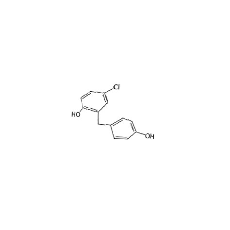 Oc1ccc(Cc2cc(Cl)ccc2O)cc1